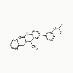 CC1c2cc(-c3cccc(OC(F)F)c3)ccc2OC(=O)N1Cc1ncccn1